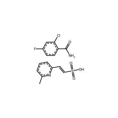 Cc1cccc(C=CS(=O)(=O)O)n1.NC(=O)c1ccc(F)cc1Cl